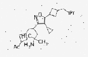 CC(=O)C1CC(CC(CC(C)(C)N)c2noc(C3CC(CC(C)C)C3)c2C2CC2)C1